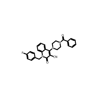 N#Cc1c(N2CCN(C(=O)c3ccccc3)CC2)c2ccccc2n(Cc2ccc(F)cc2)c1=O